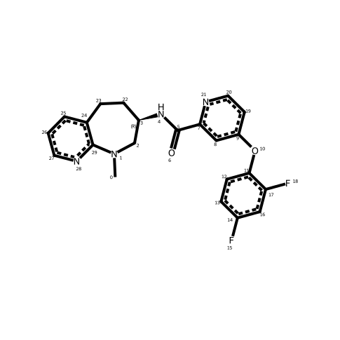 CN1C[C@H](NC(=O)c2cc(Oc3ccc(F)cc3F)ccn2)CCc2cccnc21